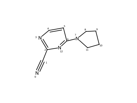 N#Cc1nccc(N2CCCC2)n1